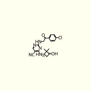 CC1(C)[C@@H](O)C[C@H]1Nc1nc(NCC(=O)c2ccc(Cl)cc2)ncc1C#N